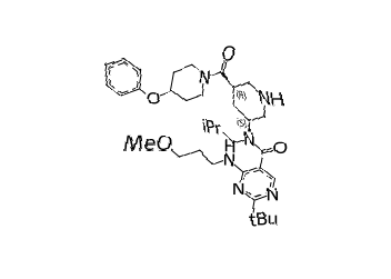 COCCCNc1nc(C(C)(C)C)ncc1C(=O)N(CC(C)C)[C@@H]1CNC[C@H](C(=O)N2CCC(Oc3ccccc3)CC2)C1